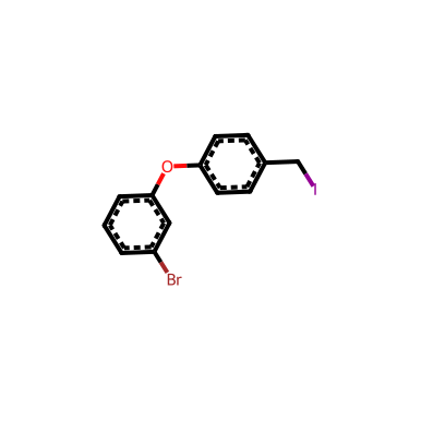 Brc1cccc(Oc2ccc(CI)cc2)c1